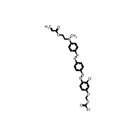 C=CC(=O)OCCN(C)c1ccc(N=Nc2ccc(N=Nc3ccc(OCOC(=O)CC)cc3Cl)cc2)cc1